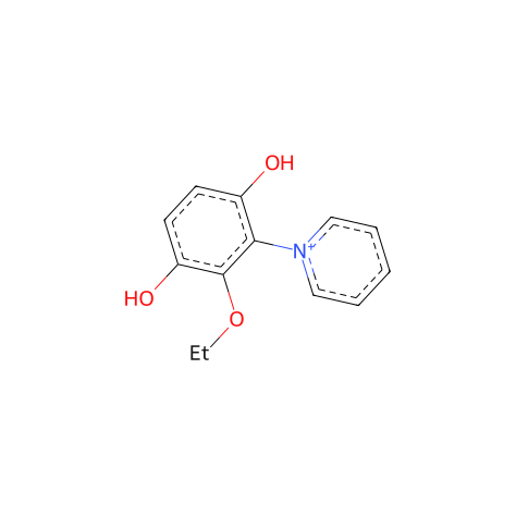 CCOc1c(O)ccc(O)c1-[n+]1ccccc1